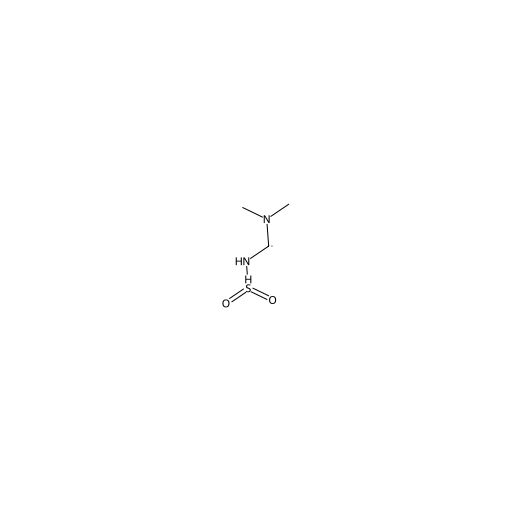 CN(C)[CH]N[SH](=O)=O